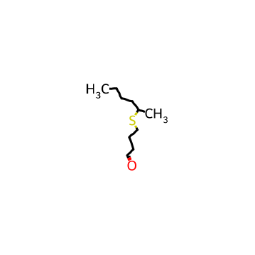 CCCCC(C)SCCCC=O